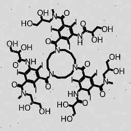 CN(CC(O)CO)C(=O)C1=C(I)C(C(=O)N2CCCN(C(=O)c3c(I)c(NC(=O)C(O)CO)c(I)c(C(=O)N(C)CC(O)CO)c3I)CCCN(C(=O)c3c(I)c(NC(=O)C(O)CO)c(I)c(C(=O)N(C)CC(O)CO)c3I)CCC2)=C(I)C(NC(=O)C(O)CO)C1I